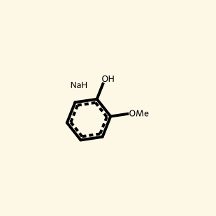 COc1ccccc1O.[NaH]